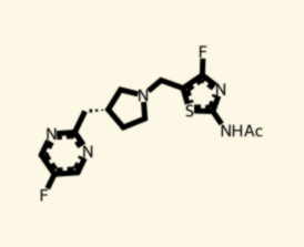 CC(=O)Nc1nc(F)c(CN2CC[C@H](Cc3ncc(F)cn3)C2)s1